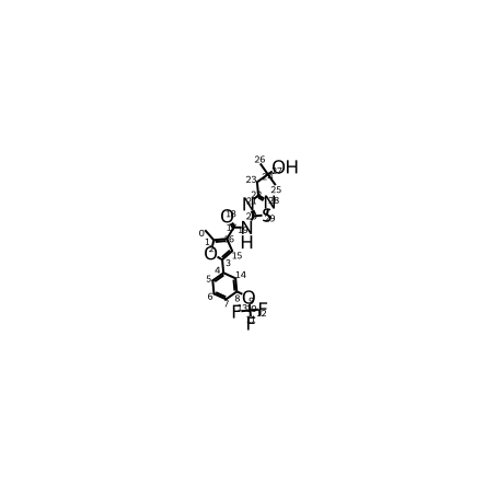 Cc1oc(-c2cccc(OC(F)(F)F)c2)cc1C(=O)Nc1nc(CC(C)(C)O)ns1